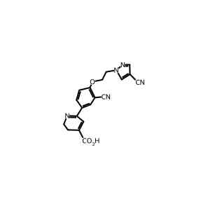 N#Cc1cnn(CCOc2ccc(C3=NCCC(C(=O)O)=C3)cc2C#N)c1